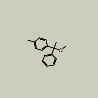 COC(C)(c1ccccc1)c1ccc(C)cc1